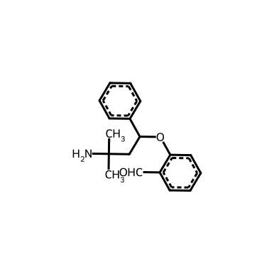 CC(C)(N)CC(Oc1ccccc1C=O)c1ccccc1